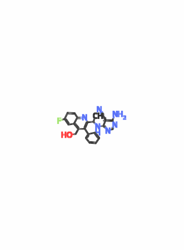 CC(Nc1ncnc(N)c1C#N)c1nc2ccc(F)cc2c(CO)c1-c1ccccc1